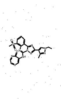 CCn1cc(-c2nc3c4cccc(S(C)(=O)=O)c4nc(Nc4cnccnc4=O)n3n2)c(C)n1